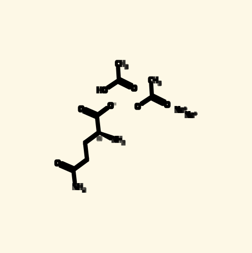 CC(=O)O.CC(=O)[O-].NC(=O)CC[C@H](N)C(=O)[O-].[Na+].[Na+]